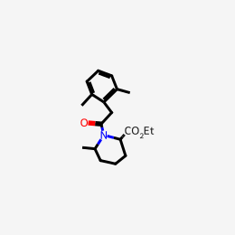 CCOC(=O)C1CCCC(C)N1C(=O)Cc1c(C)cccc1C